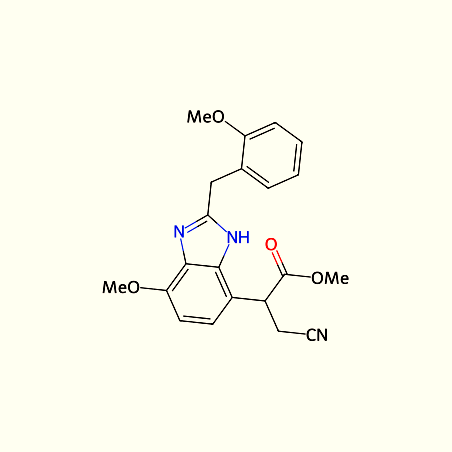 COC(=O)C(CC#N)c1ccc(OC)c2nc(Cc3ccccc3OC)[nH]c12